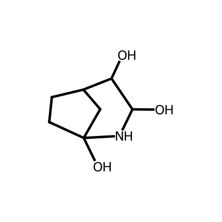 OC1NC2(O)CCC(C2)C1O